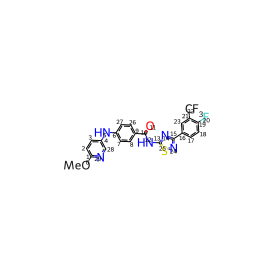 COc1ccc(Nc2ccc(C(=O)Nc3nc(-c4ccc(F)c(C(F)(F)F)c4)ns3)cc2)cn1